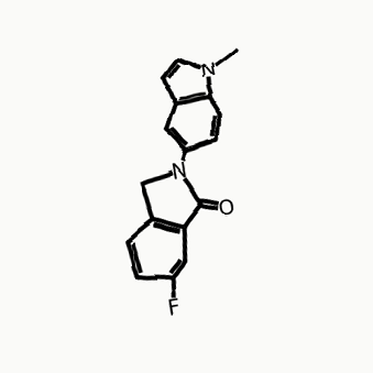 Cn1ccc2cc(N3Cc4ccc(F)cc4C3=O)ccc21